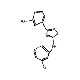 Cc1cccc(-c2csc(Nc3cccc(Cl)c3)n2)c1